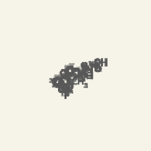 CCc1nc(Cl)c(C(=O)NCC(=O)O)n1Cc1ccc2oc(-c3ccccc3NS(=O)(=O)C(F)(F)F)c(Br)c2c1